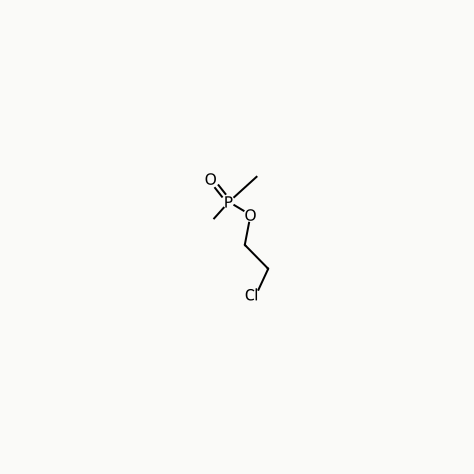 CP(C)(=O)OCCCl